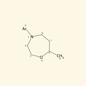 CC(=O)N1CCOC(C)CC1